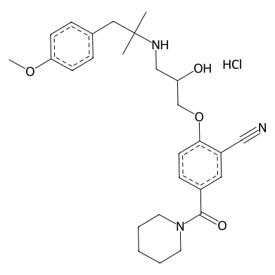 COc1ccc(CC(C)(C)NCC(O)COc2ccc(C(=O)N3CCCCC3)cc2C#N)cc1.Cl